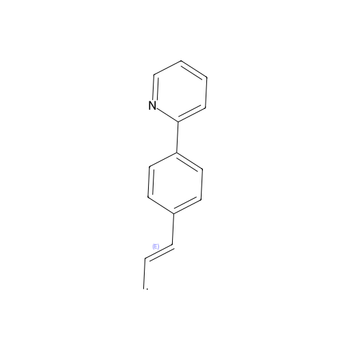 [CH2]/C=C/c1ccc(-c2ccccn2)cc1